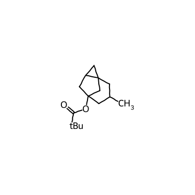 CC1CC2(OC(=O)C(C)(C)C)CC3CC3(C1)C2